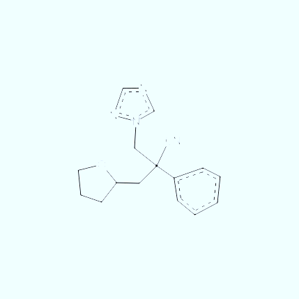 N#CC(CC1CCCO1)(Cn1cncn1)c1ccccc1